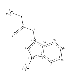 CCC(=O)Cn1c[n+](C)c2ccccc21